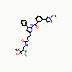 Cn1cc(-c2cccc(C(=O)Nc3nc(CCCC(=O)NC[C@@H](F)C(C)(C)O)cn3-c3ccccc3)c2)cn1